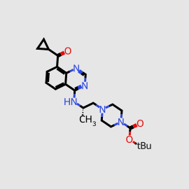 C[C@@H](CN1CCN(C(=O)OC(C)(C)C)CC1)Nc1ncnc2c(C(=O)C3CC3)cccc12